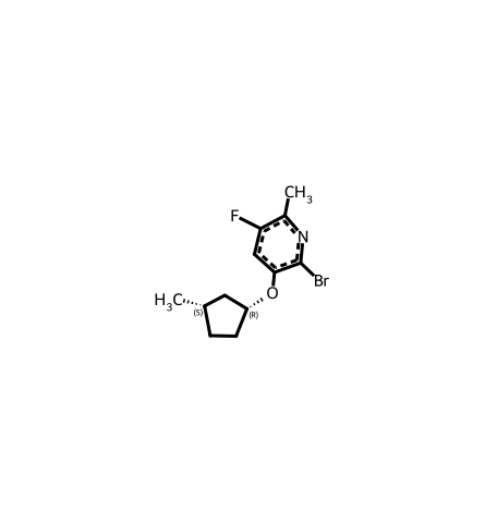 Cc1nc(Br)c(O[C@@H]2CC[C@H](C)C2)cc1F